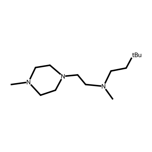 CN1CCN(CCN(C)CCC(C)(C)C)CC1